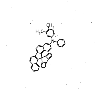 Cc1ccc(N(c2ccccc2)c2ccc3c4c(ccc3c2)-c2ccc3ccccc3c2C42c3ccccc3-c3ccccc32)cc1C